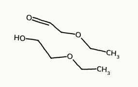 CCOCC=O.CCOCCO